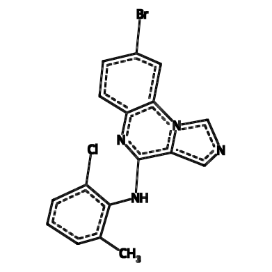 Cc1cccc(Cl)c1Nc1nc2ccc(Br)cc2n2cncc12